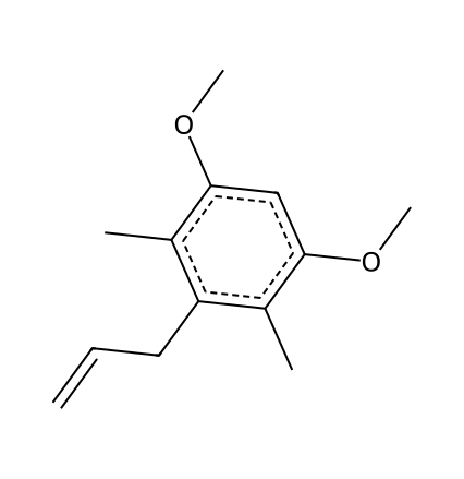 C=CCc1c(C)c(OC)cc(OC)c1C